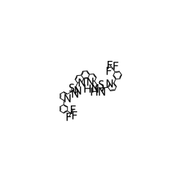 N=C(SC(=N)c1ccc2ccc3ccc(-c4nnc(-c5cccc(-c6cccc(C(F)(F)F)c6)n5)s4)nc3c2n1)c1cccc(-c2cccc(C(F)(F)F)c2)n1